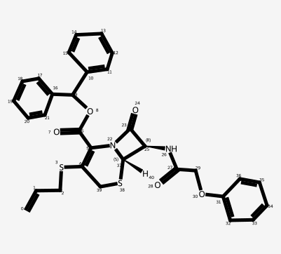 C=CCSC1=C(C(=O)OC(c2ccccc2)c2ccccc2)N2C(=O)[C@@H](NC(=O)COc3ccccc3)[C@@H]2SC1